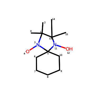 CC1(C)N([O])C2(CCCCC2)N(O)C1(C)C